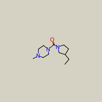 CCC1CCN(C(=O)N2CCN(C)CC2)C1